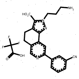 N#Cc1cccc(-c2cc3c(cn2)CCc2c-3nn(CCCN)c2C(=O)O)c1.O=C(O)C(F)(F)F